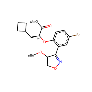 CCCCOC1CON=C1c1cc(Br)ccc1O[C@@H](CC1CCC1)C(=O)OC